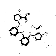 O=C(O)[C@@H]1[C@@H](O)CCN1Sc1ccccc1Oc1ccccc1SN1CC[C@H](O)[C@H]1C(=O)O